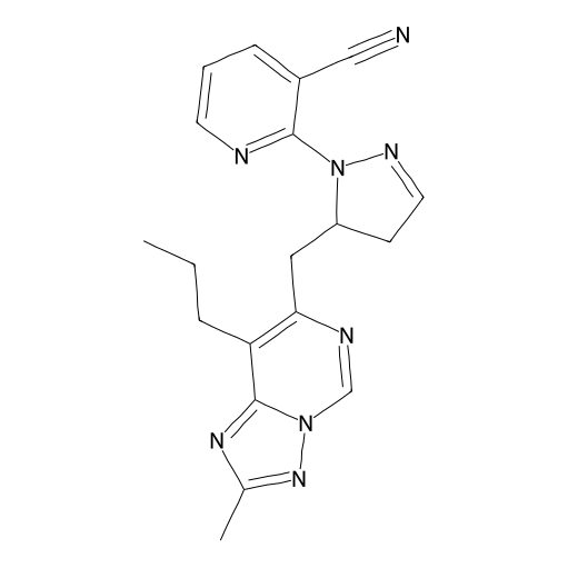 CCCc1c(CC2CC=NN2c2ncccc2C#N)ncn2nc(C)nc12